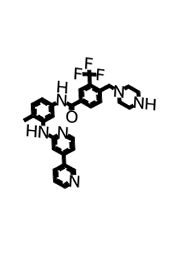 Cc1ccc(NC(=O)c2ccc(CN3CCNCC3)c(C(F)(F)F)c2)cc1Nc1cc(-c2cccnc2)ccn1